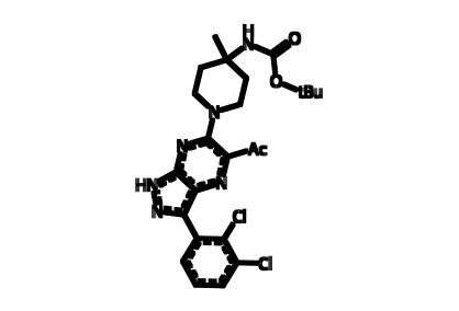 CC(=O)c1nc2c(-c3cccc(Cl)c3Cl)n[nH]c2nc1N1CCC(C)(NC(=O)OC(C)(C)C)CC1